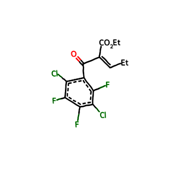 CCC=C(C(=O)OCC)C(=O)c1c(F)c(Cl)c(F)c(F)c1Cl